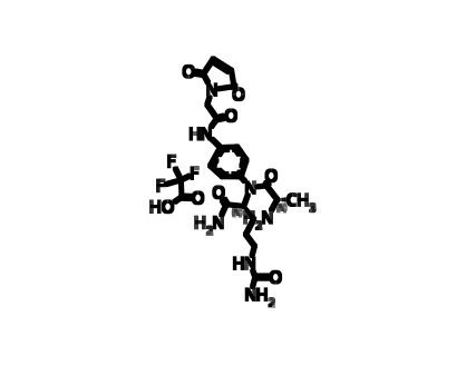 C[C@H](N)C(=O)N(c1ccc(NC(=O)CN2C(=O)C=CC2=O)cc1)[C@@H](CCCNC(N)=O)C(N)=O.O=C(O)C(F)(F)F